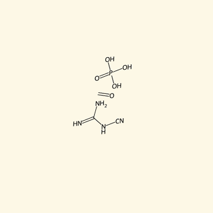 C=O.N#CNC(=N)N.O=P(O)(O)O